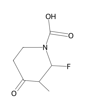 CC1C(=O)CCN(C(=O)O)C1F